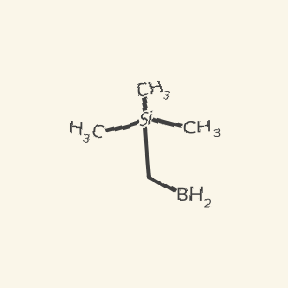 BC[Si](C)(C)C